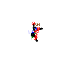 C=CCOC(=O)c1c(F)ccc(NC(=O)[C@@H]2C[C@@H](CC(=O)S)CN2C(=O)OCC=C)c1F